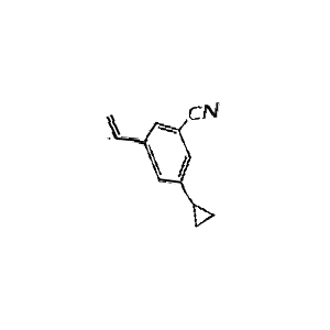 C=[C]c1cc(C#N)cc(C2CC2)c1